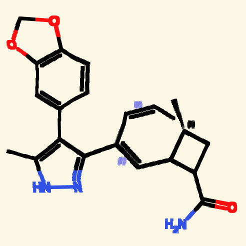 C/C=C\C(=C/C1C(C(N)=O)C[C@H]1C)c1n[nH]c(C)c1-c1ccc2c(c1)OCO2